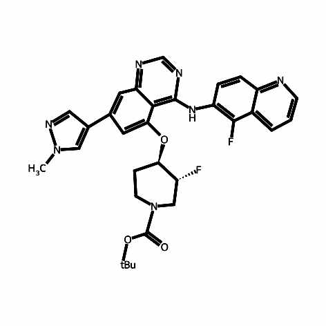 Cn1cc(-c2cc(O[C@@H]3CCN(C(=O)OC(C)(C)C)C[C@H]3F)c3c(Nc4ccc5ncccc5c4F)ncnc3c2)cn1